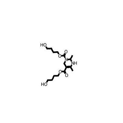 CC1=C(C(=O)OCCCCO)CN(C(=O)OCCCCO)C(C)N1